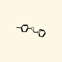 Cc1ccc(OC[n+]2ccccc2)cc1